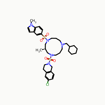 C[C@H]1CN(S(=O)(=O)c2ccc3c(ccn3C)c2)CCCN(CC2CCCCC2)CCCN(S(=O)(=O)N2CCc3cc(Cl)ccc3C2)C1